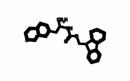 O=C(NC(Cc1ccc2ccncc2c1)C(=O)O)OCC1c2ccccc2-c2ccccc21